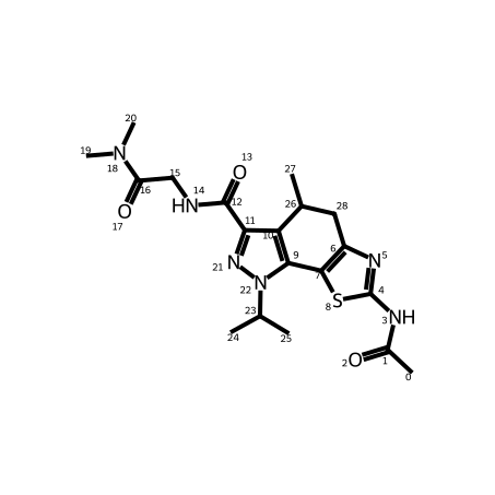 CC(=O)Nc1nc2c(s1)-c1c(c(C(=O)NCC(=O)N(C)C)nn1C(C)C)C(C)C2